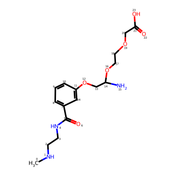 CNCCNC(=O)c1cccc(OCC(N)OCCOCC(=O)O)c1